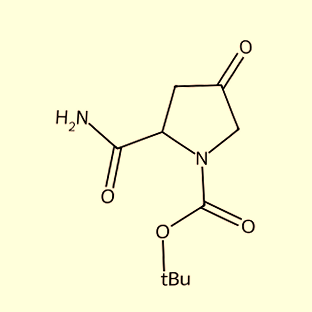 CC(C)(C)OC(=O)N1CC(=O)CC1C(N)=O